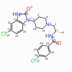 C[C@@H](CN1CCC(n2c(=O)[nH]c3cc(Cl)ccc32)CC1)NC(=O)c1ccc(Cl)cc1